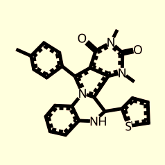 Cc1ccc(-c2c3c(=O)n(C)c(=O)n(C)c3c3n2-c2ccccc2NC3c2cccs2)cc1